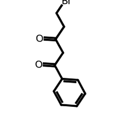 O=C(CCBr)CC(=O)c1ccccc1